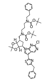 CC(C)(C)OC(=O)N(CCCN(C[C@H]1C[C@@H](n2cc(-c3nc(Cc4ccccc4)cs3)c3cnc(Cl)nc32)[C@@H]2OC(C)(C)O[C@H]12)C(=O)OC(C)(C)C)CCc1ccccc1